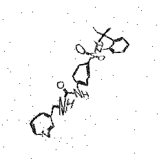 CC(C)(C)c1ccccc1NS(=O)(=O)c1ccc(NC(=O)NCc2cccnc2)cc1